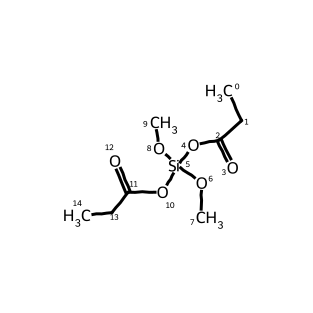 CCC(=O)O[Si](OC)(OC)OC(=O)CC